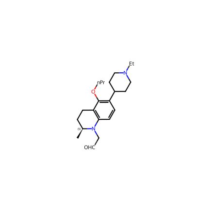 CCCOc1c(C2CCN(CC)CC2)ccc2c1CC[C@H](C)N2CC=O